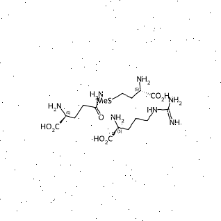 CSCC[C@H](N)C(=O)O.N=C(N)NCCC[C@H](N)C(=O)O.NC(=O)CC[C@H](N)C(=O)O